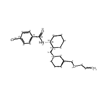 C=CCOCC1CCCN(C[C@@H]2CCCC[C@H]2NC(=O)c2ccc(Cl)cc2)C1